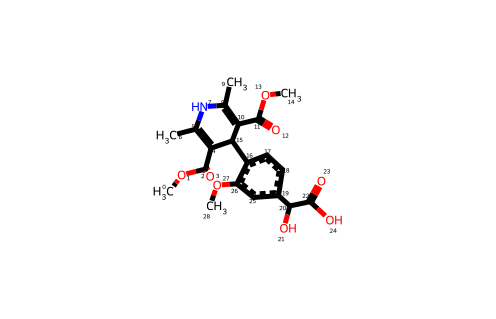 COC(=O)C1=C(C)NC(C)=C(C(=O)OC)C1c1ccc(C(O)C(=O)O)cc1OC